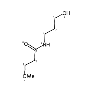 COCCC(=O)NCCCO